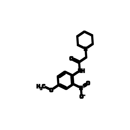 COc1ccc(NC(=O)CN2CCCCC2)c([N+](=O)[O-])c1